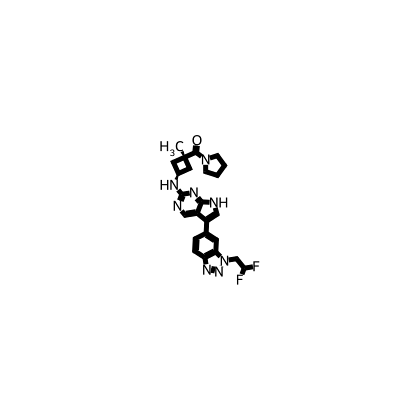 C[C@]1(C(=O)N2CCCC2)C[C@H](Nc2ncc3c(-c4ccc5nnn(CC(F)F)c5c4)c[nH]c3n2)C1